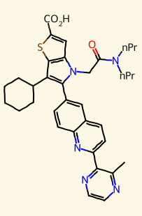 CCCN(CCC)C(=O)Cn1c(-c2ccc3nc(-c4nccnc4C)ccc3c2)c(C2CCCCC2)c2sc(C(=O)O)cc21